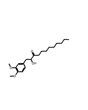 CCCCCCCCCC(=O)C(O)Cc1ccc(OC)c(OC)c1